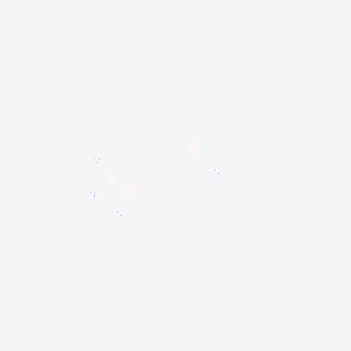 COCN1CCN(Cc2ccc(C(=O)NC34CC5CC(CC(C5)C3)C4)cc2)S1(=O)=O